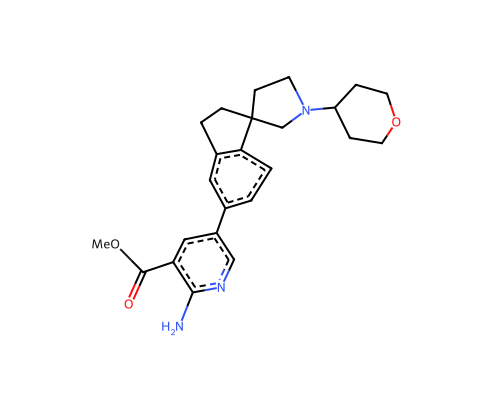 COC(=O)c1cc(-c2ccc3c(c2)CCC32CCN(C3CCOCC3)C2)cnc1N